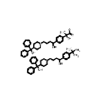 CC(C)(C(=O)O)c1ccc(C(O)CCCN2CCC(C(O)(c3ccccc3)c3ccccc3)CC2)cc1.CC(C)(C)c1ccc(C(O)CCCN2CCC(C(O)(c3ccccc3)c3ccccc3)CC2)cc1